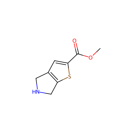 COC(=O)c1cc2c(s1)CNC2